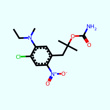 CCN(C)c1cc(CC(C)(C)OC(N)=O)c([N+](=O)[O-])cc1Cl